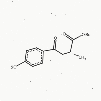 CC(C)COC(=O)[C@H](C)CC(=O)c1ccc(C#N)cc1